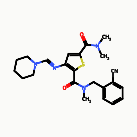 CN(C)C(=O)c1cc(/N=C/N2CCCCC2)c(C(=O)N(C)Cc2ccccc2C#N)s1